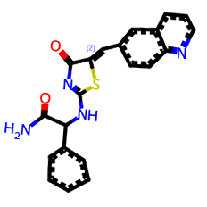 NC(=O)C(NC1=NC(=O)/C(=C/c2ccc3ncccc3c2)S1)c1ccccc1